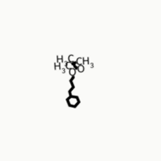 CC(C)(C)C(=O)OCCCCC1CCCCC1